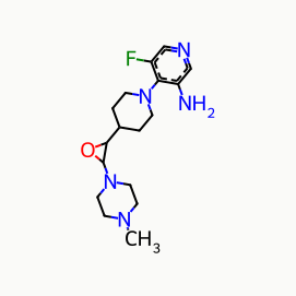 CN1CCN(C2OC2C2CCN(c3c(N)cncc3F)CC2)CC1